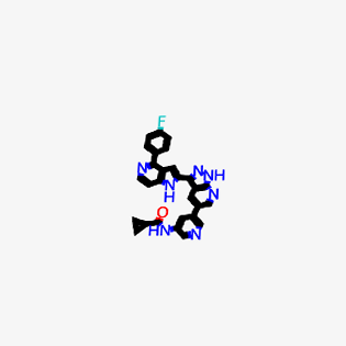 O=C(Nc1cncc(-c2cnc3[nH]nc(-c4cc5c(-c6ccc(F)cc6)nccc5[nH]4)c3c2)c1)C1CC1